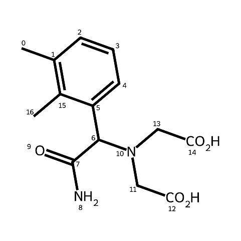 Cc1cccc(C(C(N)=O)N(CC(=O)O)CC(=O)O)c1C